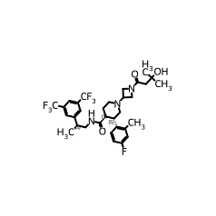 Cc1cc(F)ccc1[C@H]1CN(C2CN(C(=O)CC(C)(C)O)C2)CC[C@@H]1C(=O)NC[C@@H](C)c1cc(C(F)(F)F)cc(C(F)(F)F)c1